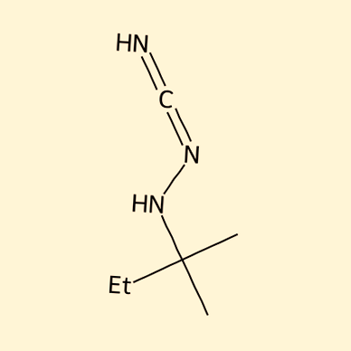 CCC(C)(C)NN=C=N